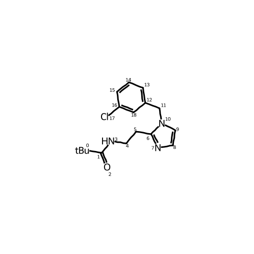 CC(C)(C)C(=O)NCCc1nccn1Cc1cccc(Cl)c1